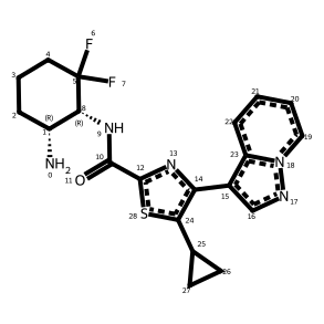 N[C@@H]1CCCC(F)(F)[C@@H]1NC(=O)c1nc(-c2cnn3ccccc23)c(C2CC2)s1